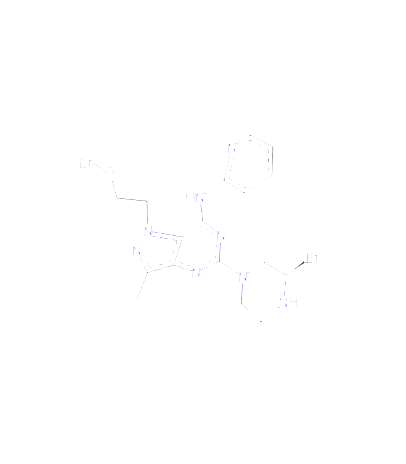 CCOCCn1nc(C)c2nc(N3CCN[C@H](CC)C3)nc(Nc3ccccn3)c21